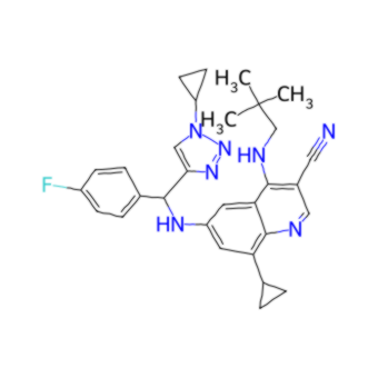 CC(C)(C)CNc1c(C#N)cnc2c(C3CC3)cc(NC(c3ccc(F)cc3)c3cn(C4CC4)nn3)cc12